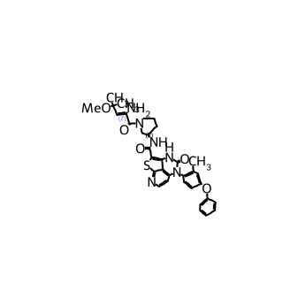 COC(C)(C)/C=C(\N)C(=O)N1CCC[C@@H](NC(=O)c2sc3nccc4c3c2NC(=O)N4c2ccc(Oc3ccccc3)cc2C)C1